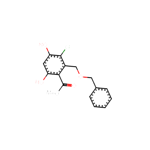 COC(=O)c1c(O)cc(O)c(Cl)c1COCc1ccccc1